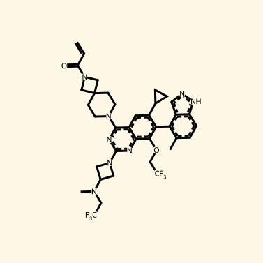 C=CC(=O)N1CC2(CCN(c3nc(N4CC(N(C)CC(F)(F)F)C4)nc4c(OCC(F)(F)F)c(-c5c(C)ccc6[nH]ncc56)c(C5CC5)cc34)CC2)C1